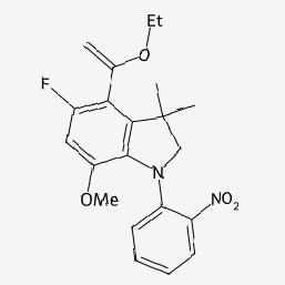 C=C(OCC)c1c(F)cc(OC)c2c1C(C)(C)CN2c1ccccc1[N+](=O)[O-]